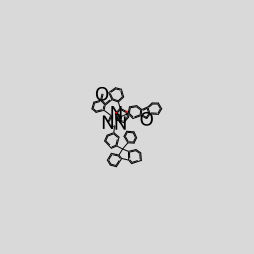 c1ccc(-c2cccc3oc4cccc(-c5nc(-c6cccc(C7(c8ccccc8)c8ccccc8-c8ccccc87)c6)nc(-c6ccc7c(c6)oc6ccccc67)n5)c4c23)cc1